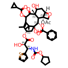 CC(=O)O[C@@]12CO[C@@H]1CC(O)[C@@]1(C)C(=O)C(OC(=O)C3CC3)C3=C(C)[C@@H](OC(=O)[C@H](O)[C@@H](NC(=O)OC4CCCC4)c4cccs4)C[C@@](O)([C@@H](OC(=O)c4ccccc4)C12)C3(C)C